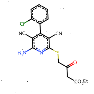 CCOC(=O)CC(=O)CSc1nc(N)c(C#N)c(-c2ccccc2Cl)c1C#N